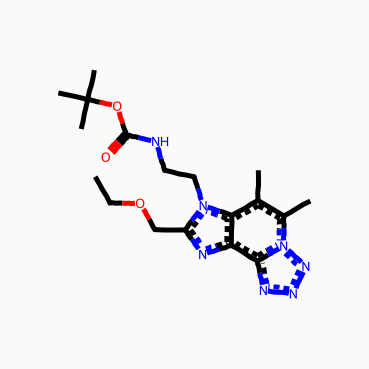 CCOCc1nc2c(c(C)c(C)n3nnnc23)n1CCNC(=O)OC(C)(C)C